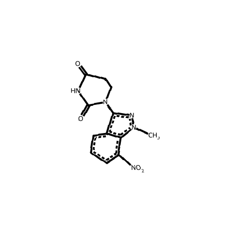 Cn1nc(N2CCC(=O)NC2=O)c2cccc([N+](=O)[O-])c21